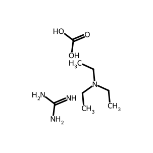 CCN(CC)CC.N=C(N)N.O=C(O)O